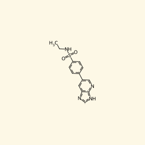 CCNS(=O)(=O)c1ccc(-c2cnc3[nH][c]nc3c2)cc1